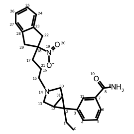 CCC1(c2cccc(C(N)=O)c2)C2CN(CCCC3([N+](=O)[O-])Cc4ccccc4C3)CC21